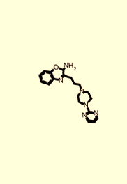 NC1Oc2ccccc2N=C1CCCN1CCN(c2ncccn2)CC1